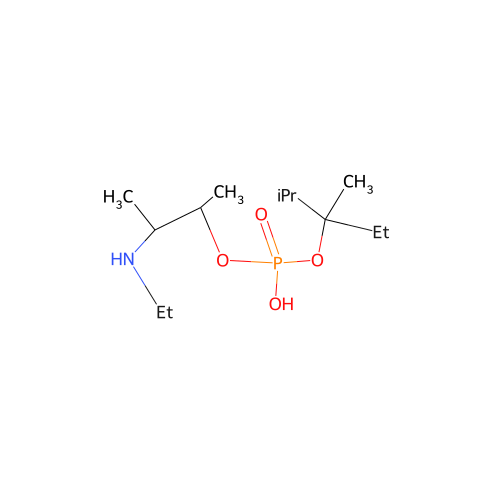 CCNC(C)C(C)OP(=O)(O)OC(C)(CC)C(C)C